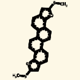 CSc1cc2ccc3c4ccc5c(ccc6cc(SC)oc65)c4ccc3c2o1